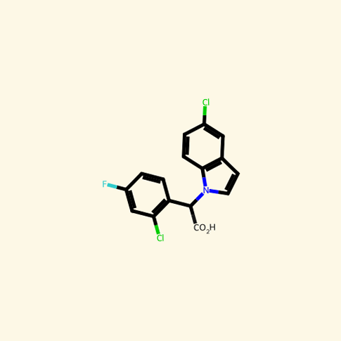 O=C(O)C(c1ccc(F)cc1Cl)n1ccc2cc(Cl)ccc21